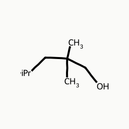 C[C](C)CC(C)(C)CO